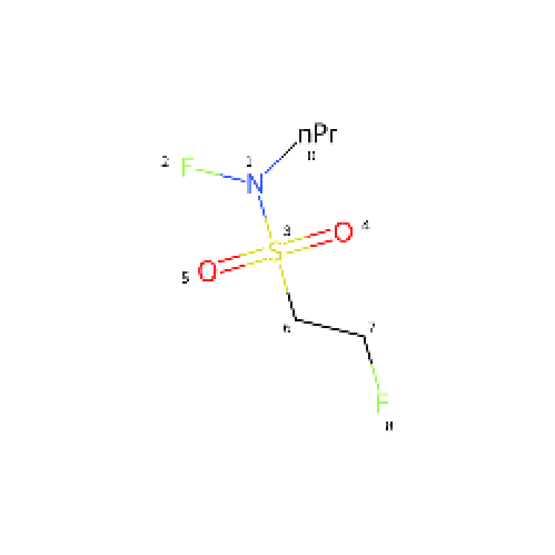 CCCN(F)S(=O)(=O)CCF